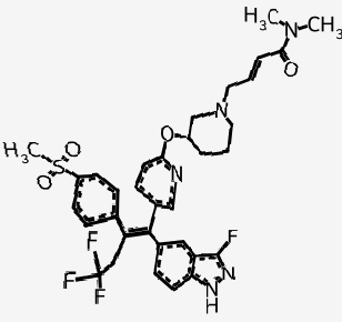 CN(C)C(=O)C=CCN1CCC[C@@H](Oc2ccc(/C(=C(/CC(F)(F)F)c3ccc(S(C)(=O)=O)cc3)c3ccc4[nH]nc(F)c4c3)cn2)C1